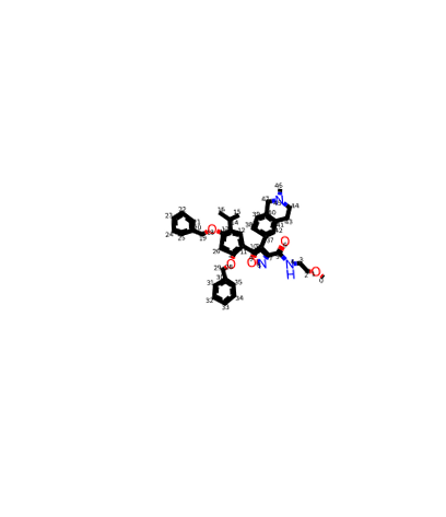 COCCNC(=O)c1noc(-c2cc(C(C)C)c(OCc3ccccc3)cc2OCc2ccccc2)c1-c1ccc2c(c1)CCN(C)C2